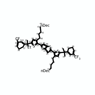 CCCCCCCCCCCCCCc1cc(C(C)(C)C2=CC(C(F)(F)F)=CCC2)sc1-c1cc2sc(-c3sc(C(C)(CC)C4=CC(C(F)(F)F)=CCC4)cc3CCCCCCCCCCCCCC)cc2s1